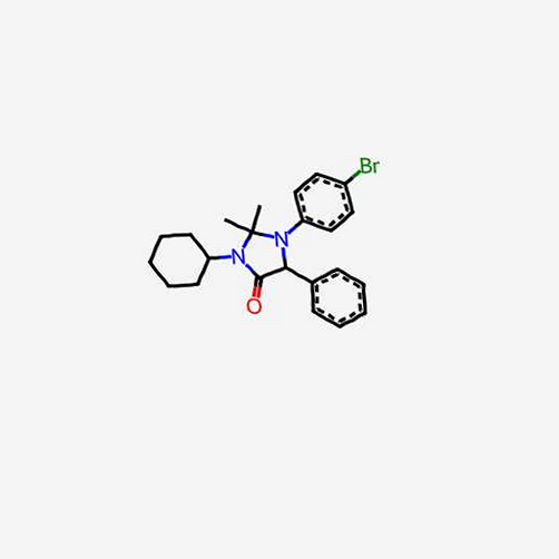 CC1(C)N(C2CCCCC2)C(=O)C(c2ccccc2)N1c1ccc(Br)cc1